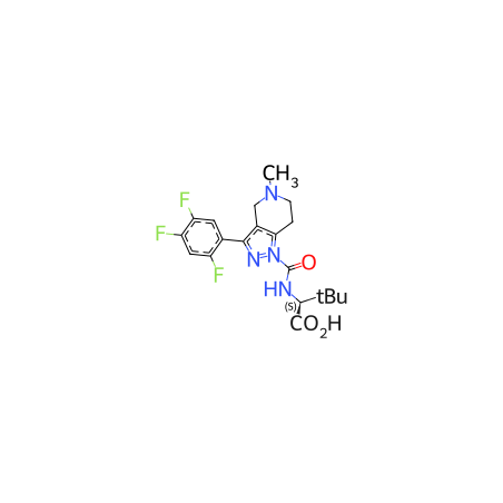 CN1CCc2c(c(-c3cc(F)c(F)cc3F)nn2C(=O)N[C@H](C(=O)O)C(C)(C)C)C1